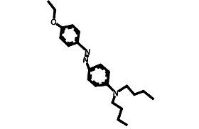 CCCCN(CCCC)c1ccc(N=Nc2ccc(OCC)cc2)cc1